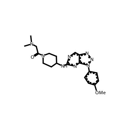 COc1ccc(-n2nnc3cnc(NC4CCN(C(=O)CN(C)C)CC4)nc32)cc1